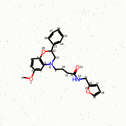 COc1ccc2c(c1)N(CCCC(=O)NCc1ccco1)CC(c1ccccc1)O2